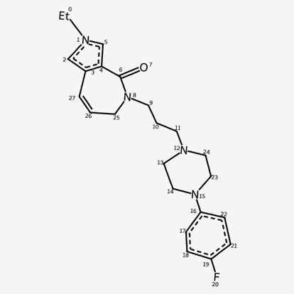 CCn1cc2c(c1)C(=O)N(CCCN1CCN(c3ccc(F)cc3)CC1)CC=C2